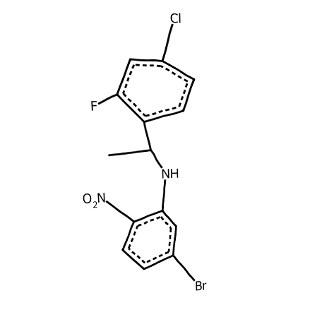 CC(Nc1cc(Br)ccc1[N+](=O)[O-])c1ccc(Cl)cc1F